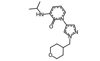 CC(C)Nc1cccn(-c2cnn(CC3CCOCC3)c2)c1=O